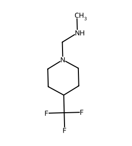 CNCN1CCC(C(F)(F)F)CC1